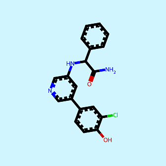 NC(=O)C(Nc1cncc(-c2ccc(O)c(Cl)c2)c1)c1ccccc1